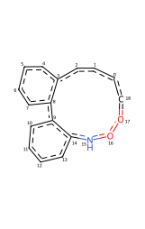 c1ccc2ccccc2c2ccccc2[nH]ooc1